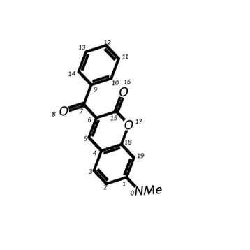 CNc1ccc2cc(C(=O)c3ccccc3)c(=O)oc2c1